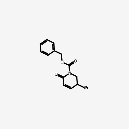 CC(C)C1C=CC(=O)N(C(=O)OCc2ccccc2)C1